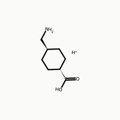 NC[C@H]1CC[C@H](C(=O)O)CC1.[H+]